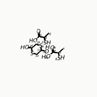 CC(S)C(=O)O.CC(S)C(=O)O.OC1CSC(O)CS1